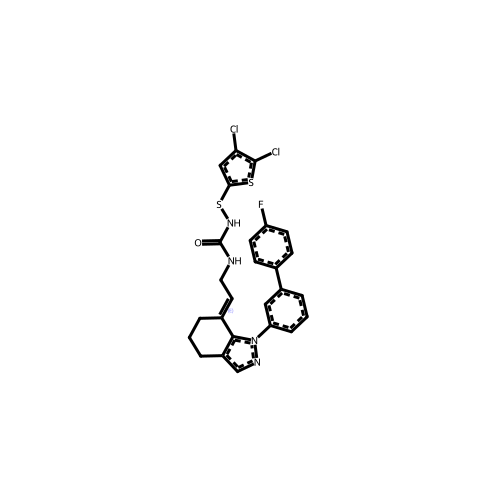 O=C(NC/C=C1\CCCc2cnn(-c3cccc(-c4ccc(F)cc4)c3)c21)NSc1cc(Cl)c(Cl)s1